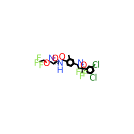 Cc1cc(C2=NO[C@@](c3cc(Cl)cc(Cl)c3)(C(F)(F)F)C2)ccc1C(=O)N[C@H]1CC(OCC(F)(F)F)=NO1